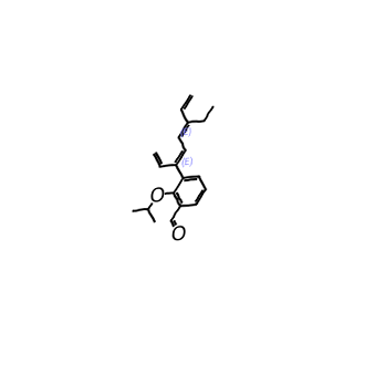 C=C/C(=C/C=C(\C=C)c1cccc(C=O)c1OC(C)C)CC